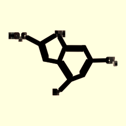 O=C(O)c1cc2c(Br)cc(C(F)(F)F)cc2[nH]1